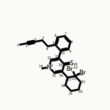 CC#CCCc1ccccc1-c1cn(C)cc(C2CCCCC2(Br)Br)c1=S